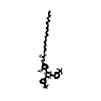 CCCCCCCCCCCCCCCCCCOC(=O)COc1ccc(-c2nc(-c3cccc(C(F)(F)F)c3)nc(-c3cccc(C(F)(F)F)c3)n2)c(O)c1